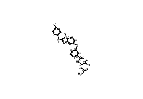 Cn1c(Nc2ccc(Br)cc2)nc2cc(Oc3ccnc(C(=O)N[C@@H](CC(N)=O)C(=O)O)c3)ccc21